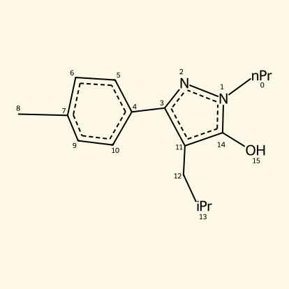 CCCn1nc(-c2ccc(C)cc2)c(CC(C)C)c1O